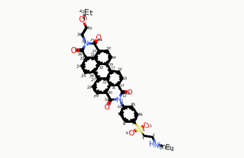 CCCCNCCS(=O)(=O)c1ccc(N2C(=O)c3ccc4c5ccc6c7c(ccc(c8ccc(c3c48)C2=O)c75)C(=O)N(CCOCC)C6=O)cc1